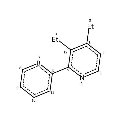 CCc1ccnc(-c2bcccc2)c1CC